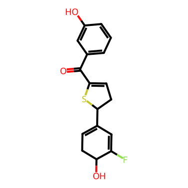 O=C(C1=CCC(C2=CCC(O)C(F)=C2)S1)c1cccc(O)c1